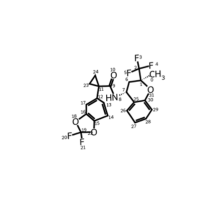 C[C@@]1(C(F)(F)F)C[C@@H](NC(=O)C2(c3ccc4c(c3)OC(F)(F)O4)CC2)c2ccccc2O1